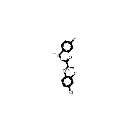 C[C@@H](Oc1ccc(Cl)cc1Cl)C(=O)N[C@H](C)c1ccc(F)cc1